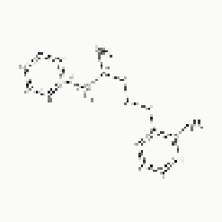 Cc1ccccc1CCCC([SiH3])[SiH2]c1ccccc1